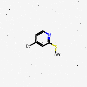 CCCSc1cc(CC)ccn1